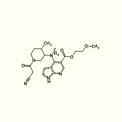 COCCOC(=O)c1cnc2[nH]ccc2c1N(C)C1CN(C(=O)CC#N)CCC1C